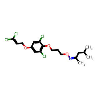 CC(CC(C)C)=NOCCCOc1c(Cl)cc(OCC=C(Cl)Cl)cc1Cl